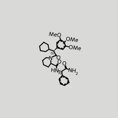 COc1cc([C@@H](C(=O)N2CCCCC2C(=O)N[C@@H](C(N)=O)c2ccccc2)C2CCCCC2)cc(OC)c1OC